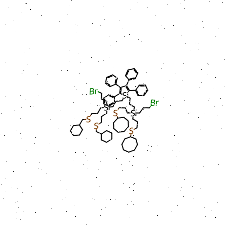 BrCCC[Si](CCCSCC1CCCCC1)(CCCSCC1CCCCC1)CCC[Si]1(CCC[Si](CCCBr)(CCCSC2CCCCCCC2)CCCSC2CCCCCCC2)C(c2ccccc2)=C(c2ccccc2)C(c2ccccc2)=C1c1ccccc1